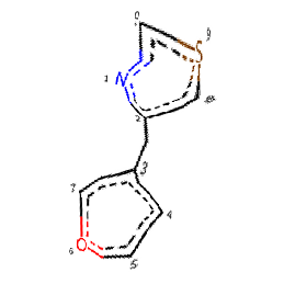 [c]1nc(-c2ccoc2)cs1